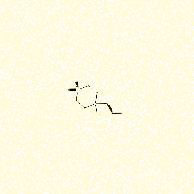 C/C=C/C1(O)CCS(=O)(=O)CC1